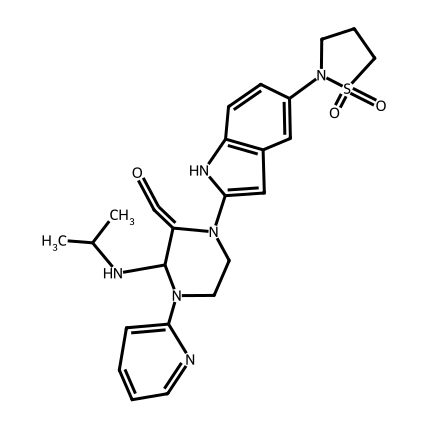 CC(C)NC1C(=C=O)N(c2cc3cc(N4CCCS4(=O)=O)ccc3[nH]2)CCN1c1ccccn1